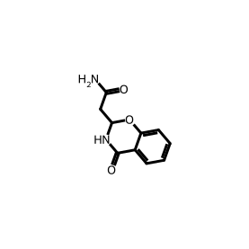 NC(=O)CC1NC(=O)c2ccccc2O1